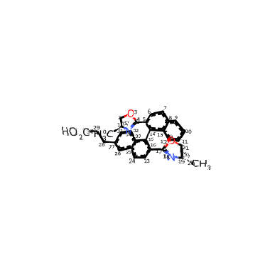 C[C@H]1COC(c2ccc3ccccc3c2-c2c(C3=N[C@@H](C)CO3)ccc3cc(CCC(=O)O)ccc23)=N1